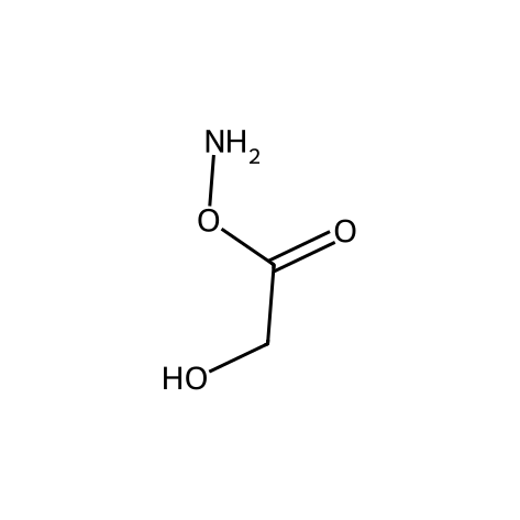 NOC(=O)CO